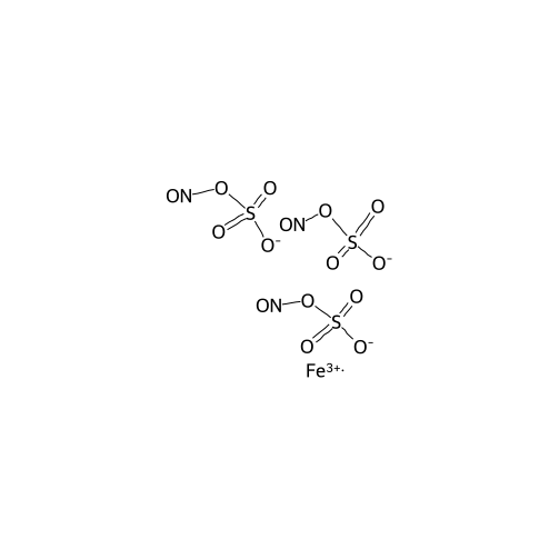 O=NOS(=O)(=O)[O-].O=NOS(=O)(=O)[O-].O=NOS(=O)(=O)[O-].[Fe+3]